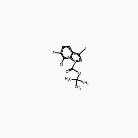 CC(C)(C)OC(=O)n1cc(I)c2ccc(F)c(Cl)c21